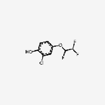 Oc1ccc(OC(F)C(F)F)cc1Cl